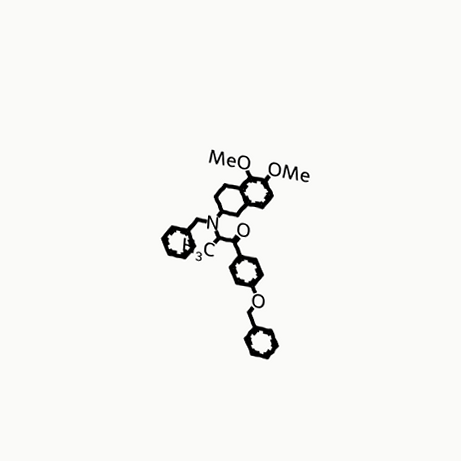 COc1ccc2c(c1OC)CCC(N(Cc1ccccc1)C(C)C(=O)c1ccc(OCc3ccccc3)cc1)C2